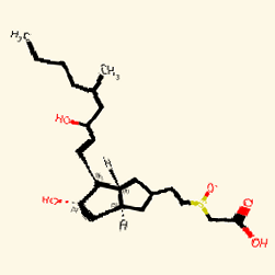 CCCCC(C)CC(O)C=C[C@H]1[C@@H]2CC(CC[S+]([O-])CC(=O)O)C[C@H]2C[C@@H]1O